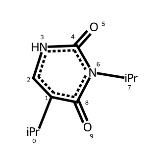 CC(C)c1c[nH]c(=O)n(C(C)C)c1=O